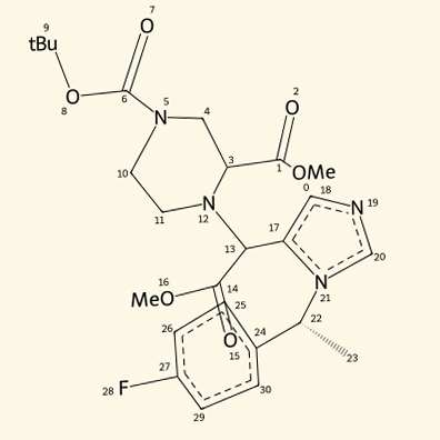 COC(=O)C1CN(C(=O)OC(C)(C)C)CCN1C(C(=O)OC)c1cncn1[C@H](C)c1ccc(F)cc1